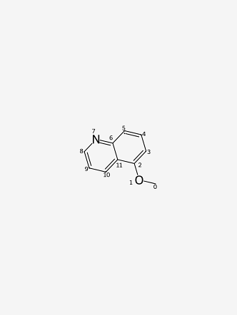 COc1cc[c]c2ncccc12